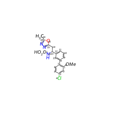 COc1cc(Cl)ccc1-c1cccc(C(Cc2nnc(C)o2)NC(=O)O)c1